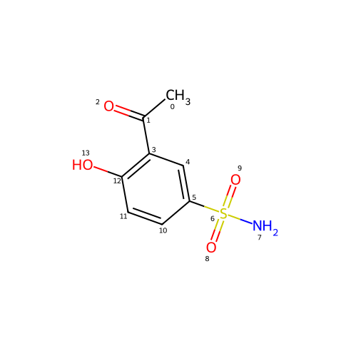 CC(=O)c1cc(S(N)(=O)=O)ccc1O